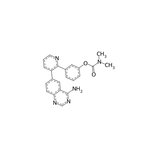 CN(C)C(=O)Oc1cccc(-c2ncccc2-c2ccc3ncnc(N)c3c2)c1